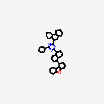 C1=Cc2c(c(-c3nc(-c4ccccc4)nc(-c4cccc5c(-c6cccc7oc8ccccc8c67)cccc45)n3)cc3ccccc23)CC1